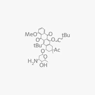 COc1cccc2c1C(=O)c1c(c(OC=C=CC(C)(C)C)c3c(c1C(C)(C)C)[C@@H](OC1CC(N)C(O)C(C)O1)C[C@](C)(C(C)=O)C3)C2=O